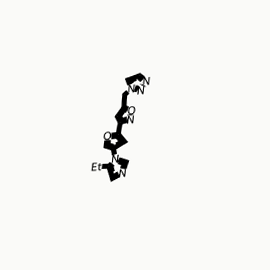 CCc1cncn1-c1coc(-c2cc(Cn3ccnn3)on2)c1